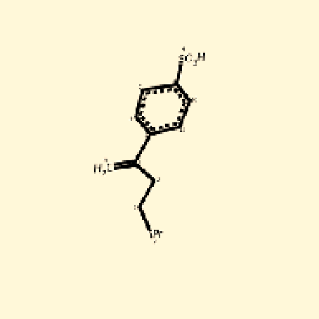 C=C(CCC(C)C)c1ccc(S(=O)(=O)O)cc1